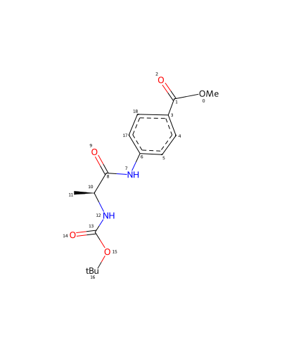 COC(=O)c1ccc(NC(=O)[C@H](C)NC(=O)OC(C)(C)C)cc1